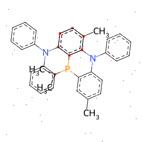 Cc1ccc(N(c2ccccc2)c2ccccc2)c(P(c2cc(C)ccc2N(c2ccccc2)c2ccccc2)C(C)C)c1